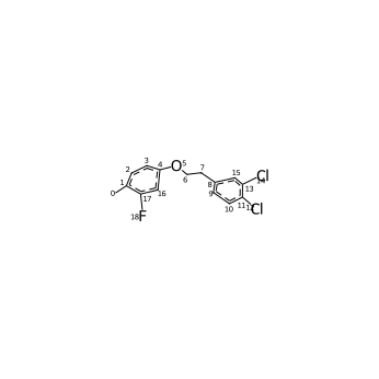 Cc1ccc(OCCc2ccc(Cl)c(Cl)c2)cc1F